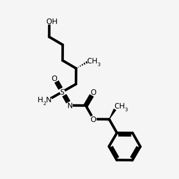 C[C@@H](CCCO)CS(N)(=O)=NC(=O)O[C@@H](C)c1ccccc1